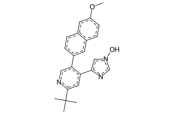 COc1ccc2cc(-c3cnc(C(C)(C)C)cc3-c3cn(O)cn3)ccc2c1